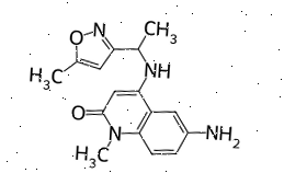 Cc1cc(C(C)Nc2cc(=O)n(C)c3ccc(N)cc23)no1